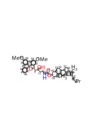 COc1ccc(C(OCCC(O)CCNC(=O)O[C@@H]2CC[C@]3(C)C(=CCC4C3CC[C@]3(C)C4CC[C@H]3[C@@H](C)CCCC(C)C)C2)(c2ccccc2)c2ccc(OC)cc2)cc1